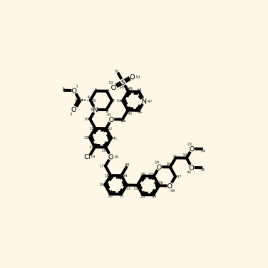 COC(=O)[C@@H]1CCCCN1Cc1cc(Cl)c(OCc2cccc(-c3ccc4c(c3)OC(CC(OC)OC)CO4)c2C)cc1OCc1cncc(S(C)(=O)=O)c1